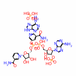 NC(=O)c1ccc[n+]([C@@H]2O[C@H](COP(=O)([O-])OP(=O)(O)OC[C@H]3O[C@@H](n4cnc5c(N)ncnc54)[C@H](OP(=O)(O)O)[C@@H]3O)[C@@H](O)[C@H]2O)c1.NC(=O)c1cccnc1.Nc1ncnc2[nH]cnc12.O=P(O)(O)O